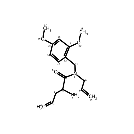 C=CCC(N)C(=O)N(CC=C)Cc1ccc(OC)cc1OC